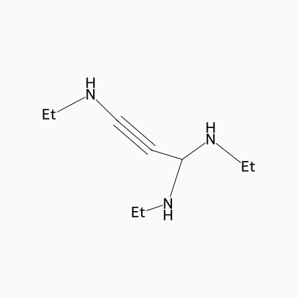 CCNC#CC(NCC)NCC